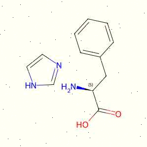 N[C@@H](Cc1ccccc1)C(=O)O.c1c[nH]cn1